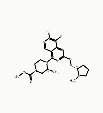 C[C@H]1CN(C(=O)OC(C)(C)C)CCN1c1nc(OC[C@@H]2CCCN2C)nc2c(F)c(Cl)ncc12